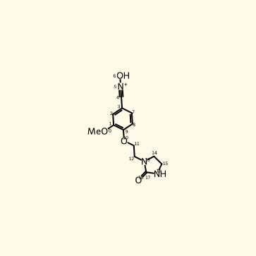 COc1cc(C#[N+]O)ccc1OCCN1CCNC1=O